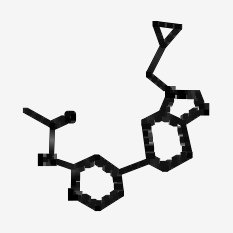 CC(=O)Nc1cc(-c2ccc3ncn(CC4CC4)c3c2)ccn1